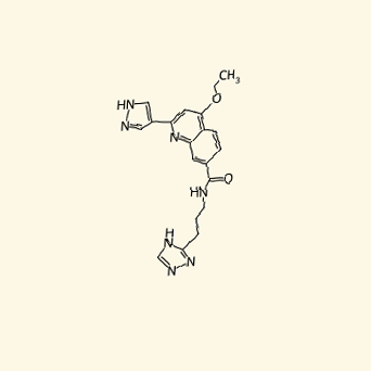 CCOc1cc(-c2cn[nH]c2)nc2cc(C(=O)NCCCc3nnc[nH]3)ccc12